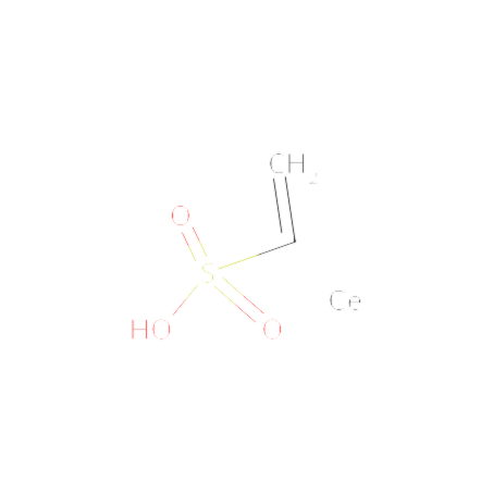 C=CS(=O)(=O)O.[Ce]